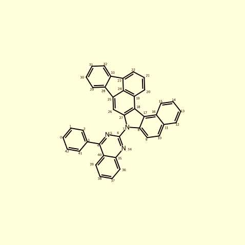 c1ccc(-c2nc(-n3c4ccc5ccccc5c4c4c5cccc6c5c(cc43)-c3ccccc3-6)nc3ccccc23)cc1